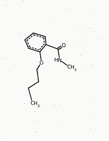 CCCCOc1ccccc1C(=O)NC